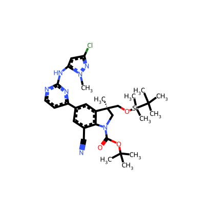 Cn1nc(Cl)cc1Nc1nccc(-c2cc(C#N)c3c(c2)[C@@](C)(CO[Si](C)(C)C(C)(C)C)CN3C(=O)OC(C)(C)C)n1